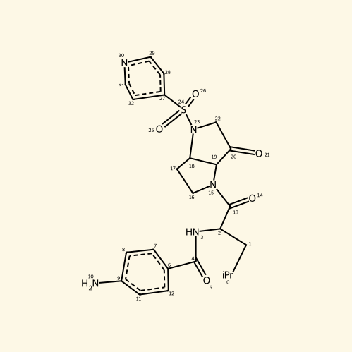 CC(C)CC(NC(=O)c1ccc(N)cc1)C(=O)N1CCC2C1C(=O)CN2S(=O)(=O)c1ccncc1